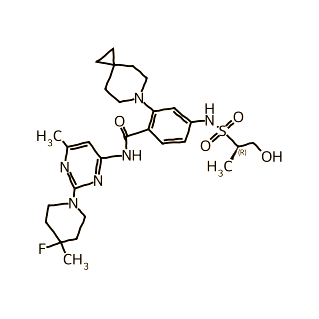 Cc1cc(NC(=O)c2ccc(NS(=O)(=O)[C@H](C)CO)cc2N2CCC3(CC2)CC3)nc(N2CCC(C)(F)CC2)n1